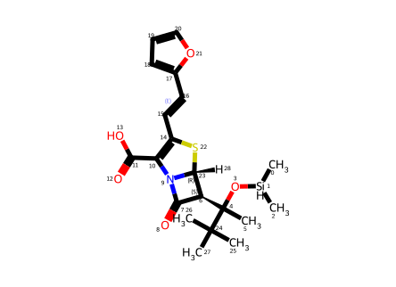 C[SiH](C)OC(C)([C@H]1C(=O)N2C(C(=O)O)=C(/C=C/c3ccco3)S[C@H]12)C(C)(C)C